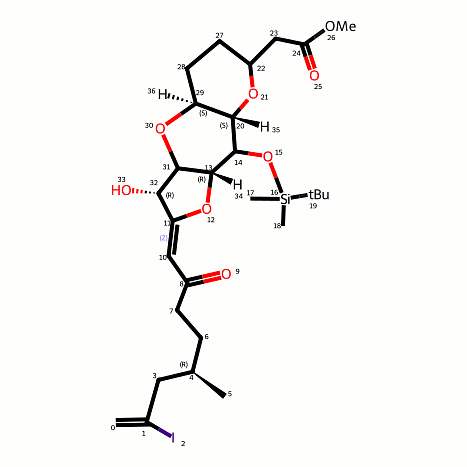 C=C(I)C[C@H](C)CCC(=O)/C=C1\O[C@H]2C(O[Si](C)(C)C(C)(C)C)[C@H]3OC(CC(=O)OC)CC[C@@H]3OC2[C@H]1O